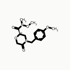 COc1ccc(CN2C[C@H](C(=O)N(C)OC)OCC2=O)cc1